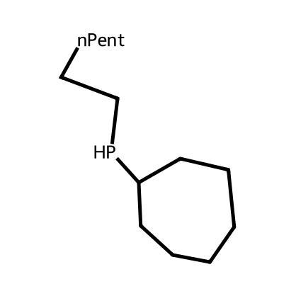 CCCCCCCPC1CCCCCC1